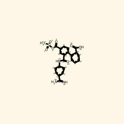 CS(=O)(=O)OC(=O)c1ccc(-c2ccccc2C(=O)O)c(C(=O)Nc2ccc(C(=N)N)cc2)c1